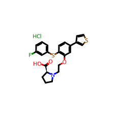 Cl.O=C(O)[C@@H]1CCCN1CCOc1cc(-c2ccsc2)ccc1Sc1cccc(F)c1